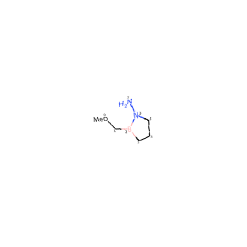 COCB1CCCN1N